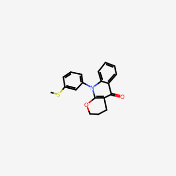 CSc1cccc(-n2c3c(c(=O)c4ccccc42)CCCO3)c1